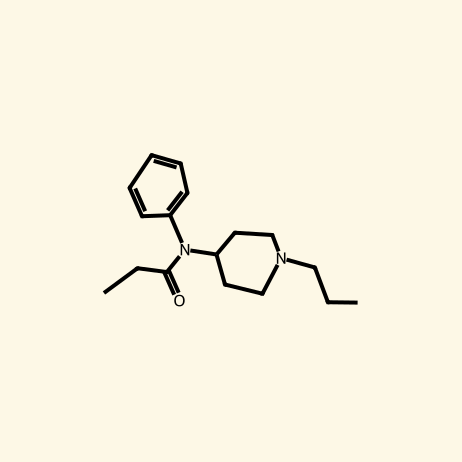 CCCN1CCC(N(C(=O)CC)c2ccccc2)CC1